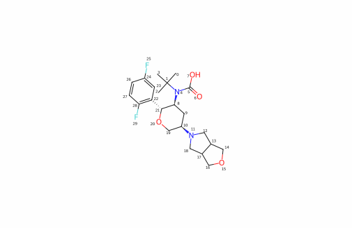 CC(C)(C)N(C(=O)O)[C@H]1C[C@@H](N2CC3COCC3C2)CO[C@@H]1c1cc(F)ccc1F